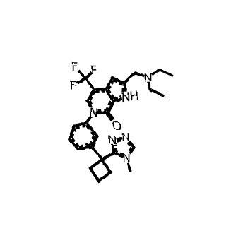 CCN(CC)Cc1cc2c(C(F)(F)F)cn(-c3cccc(C4(c5nncn5C)CCC4)c3)c(=O)c2[nH]1